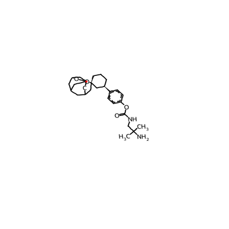 CC(C)(N)CNC(=O)Oc1ccc([C@@H]2CCC[C@]3(CC4CC5CC(C4)CC(C5)OO3)C2)cc1